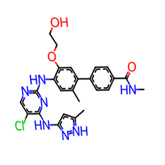 CNC(=O)c1ccc(-c2cc(OCCO)c(Nc3ncc(Cl)c(Nc4cc(C)[nH]n4)n3)cc2C)cc1